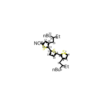 CCCCC(CC)Cc1ccsc1-c1ccc(-c2sc(C#N)cc2CC(CC)CCCC)s1